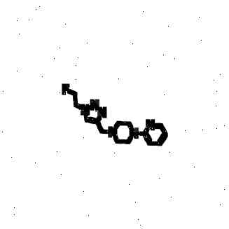 FCCn1cc(CN2CCN(c3ccccn3)CC2)nn1